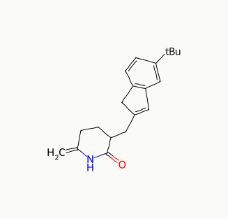 C=C1CCC(CC2=Cc3cc(C(C)(C)C)ccc3C2)C(=O)N1